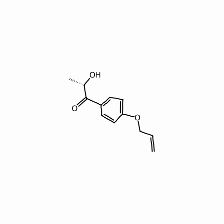 C=CCOc1ccc(C(=O)[C@H](C)O)cc1